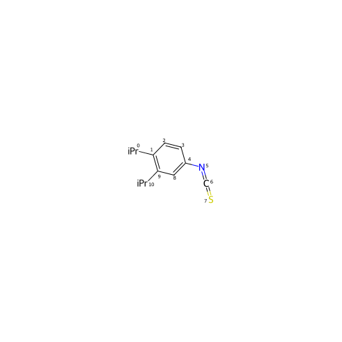 CC(C)c1ccc(N=C=S)cc1C(C)C